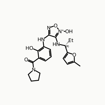 CC[C@@H](Nc1c(Nc2cccc(C(=O)N3CCCC3)c2O)no[n+]1O)c1ccc(C)o1